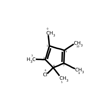 CC1=C(C)C(C)(Cl)C(C)=C1C